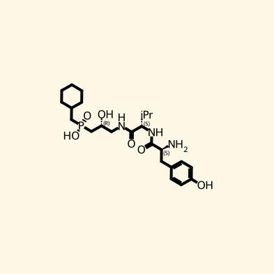 CC(C)[C@H](NC(=O)[C@@H](N)Cc1ccc(O)cc1)C(=O)NC[C@@H](O)CP(=O)(O)CC1CCCCC1